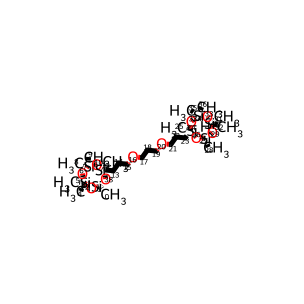 C[SiH]1O[Si](C)(C)O[Si](C)(C)O[Si](C)(CCCOCCCOCCC[Si]2(C)O[SiH](C)O[Si](C)(C)O[Si](C)(C)O2)O1